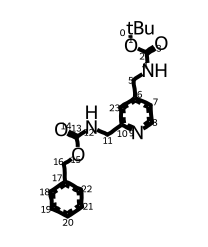 CC(C)(C)OC(=O)NCc1ccnc(CNC(=O)OCc2ccccc2)c1